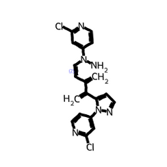 C=C(/C=C\N(N)c1ccnc(Cl)c1)C(=C)c1ccnn1-c1ccnc(Cl)c1